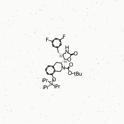 CC(C)[Si](Oc1cccc2c1CN(C(=O)OC(C)(C)C)C([C@H]1OC(=O)N[C@H]1Cc1cc(F)cc(F)c1)C2)(C(C)C)C(C)C